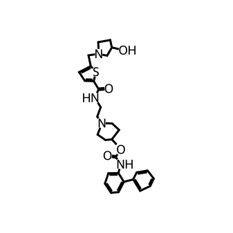 O=C(Nc1ccccc1-c1ccccc1)OC1CCN(CCNC(=O)c2ccc(CN3CCC(O)C3)s2)CC1